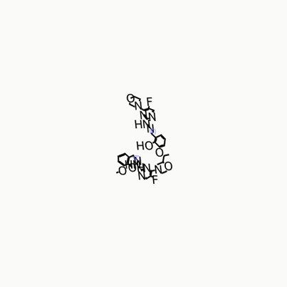 COc1cccc(/C=N\Nc2ncc(F)c(N3CCOC(C(C)Oc4cccc(/C=N/Nc5ncc(F)c(N6CCOCC6)n5)c4O)C3)n2)c1O